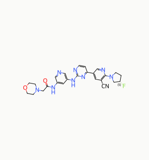 N#Cc1cc(-c2ccnc(Nc3cncc(NC(=O)CN4CCOCC4)c3)n2)cnc1N1CC[C@H](F)C1